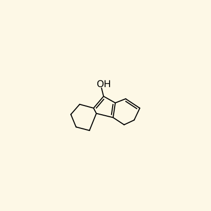 OC1=C2CCCCC2C2=C1C=CCC2